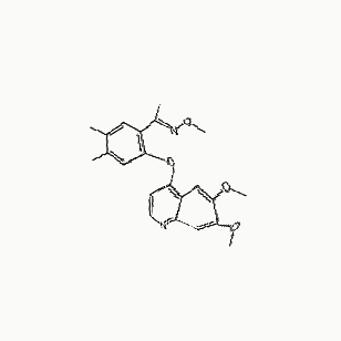 CON=C(C)c1cc(C)c(C)cc1Oc1ccnc2cc(OC)c(OC)cc12